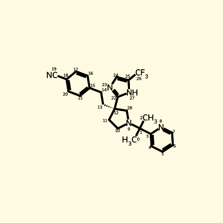 CC(C)(c1ccccn1)N1CC[C@@](CCc2ccc(C#N)cc2)(c2ncc(C(F)(F)F)[nH]2)C1